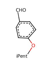 CCCC(C)Oc1ccc(C=O)cc1